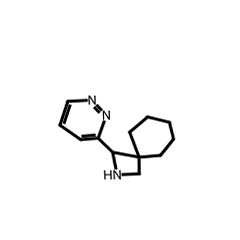 c1cnnc(C2NCC23CCCCC3)c1